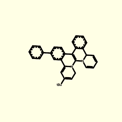 CC(C)(C)C1=CCN2C(=C1)c1cc(-c3ccccc3)ccc1C1=C2N2C=CC=CC2c2ccccc21